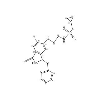 O=C1NC(Cc2ccccc2)c2cc(OCCNS(=O)(=O)CC3CC3)c(F)cc21